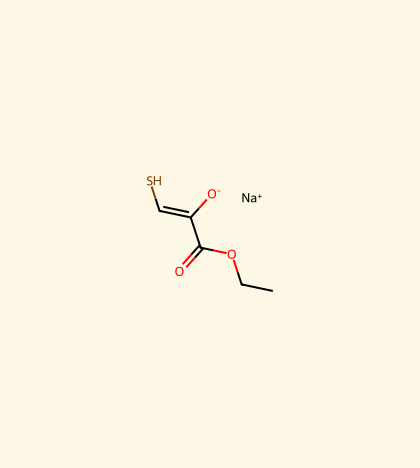 CCOC(=O)C([O-])=CS.[Na+]